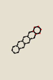 c1ccc2cc3cc4c(cc3cc2c1)c1c2ccccc2c4c2ccccc21